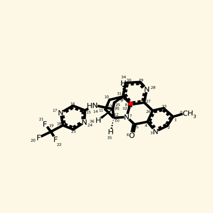 Cc1cnc(C(=O)N2C[C@@H]3CC[C@H]2[C@H](Nc2cnc(C(F)(F)F)cn2)C3)c(-c2ncccn2)c1